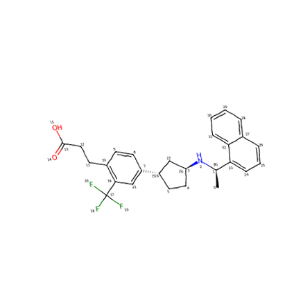 C[C@@H](N[C@H]1CC[C@H](c2ccc(CCC(=O)O)c(C(F)(F)F)c2)C1)c1cccc2ccccc12